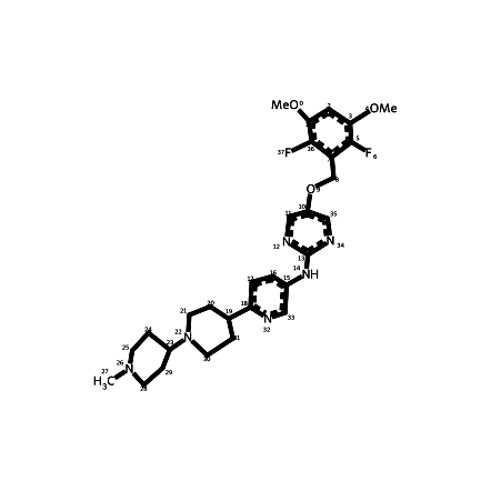 COc1cc(OC)c(F)c(COc2cnc(Nc3ccc(C4CCN(C5CCN(C)CC5)CC4)nc3)nc2)c1F